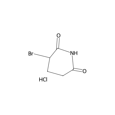 Cl.O=C1CCC(Br)C(=O)N1